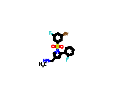 CNCc1cc(-c2ccccc2F)n(S(=O)(=O)c2cc(F)cc(Br)c2)c1